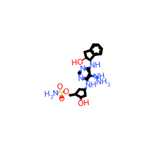 NNc1c(NC2CC(O)C(COS(N)(=O)=O)C2)ncnc1N[C@@H]1c2ccccc2C[C@@H]1O